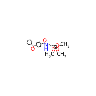 CCO[Si](CCCNC(=O)c1ccc(C(=O)c2ccccc2)cc1)(OCC)OCC